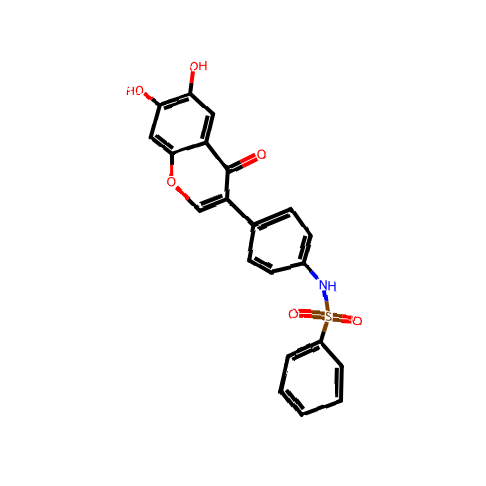 O=c1c(-c2ccc(NS(=O)(=O)c3ccccc3)cc2)coc2cc(O)c(O)cc12